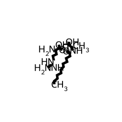 CCCCCCCCCCCC(=O)NC(C)C(=O)O.N=C(N)NCCCC(N)C(=O)O